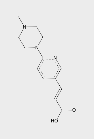 CN1CCN(c2ccc(C=CC(=O)O)cn2)CC1